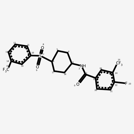 O=C(NC1CCC(S(=O)(=O)c2cccc(C(F)(F)F)c2)CC1)c1ccc(F)c(C(F)(F)F)c1